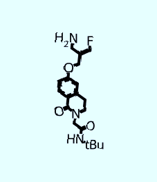 CC(C)(C)NC(=O)CN1CCc2cc(OC/C(=C/F)CN)ccc2C1=O